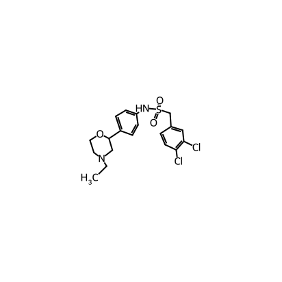 CCN1CCOC(c2ccc(NS(=O)(=O)Cc3ccc(Cl)c(Cl)c3)cc2)C1